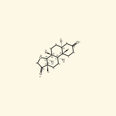 C[C@]12CCC(=O)C[C@@H]1CC[C@@H]1[C@@H]2CC[C@]2(C)C(=O)CO[C@@H]12